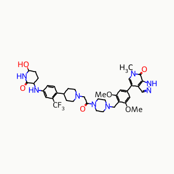 COc1cc(-c2cn(C)c(=O)c3[nH]ncc23)cc(OC)c1CN1CCN(C(=O)CN2CCC(c3ccc(NC4CCC(O)NC4=O)cc3C(F)(F)F)CC2)CC1